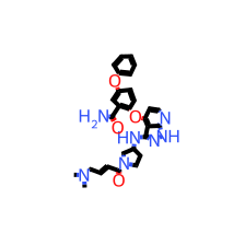 CN(C)CC=CC(=O)N1CCC(Nc2n[nH]c3nccc(Oc4ccc(Oc5ccccc5)cc4C(N)=O)c23)C1